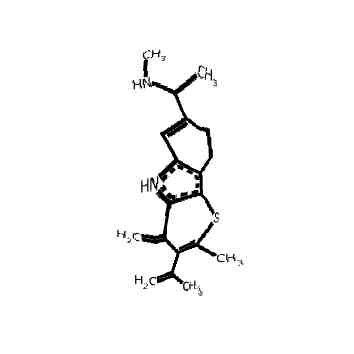 C=C(C)C1=C(C)Sc2c([nH]c3c2CCC(C(C)NC)=C3)C1=C